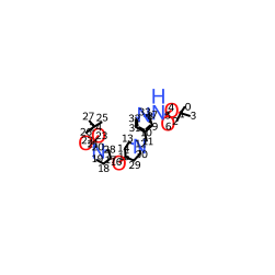 CC(C)(C)OC(=O)Nc1cc(CN2CCC(OC3CCN(C(=O)OC(C)(C)C)C3)CC2)ccn1